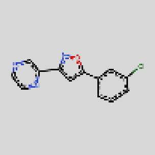 Clc1cccc(-c2cc(-c3cnccn3)no2)c1